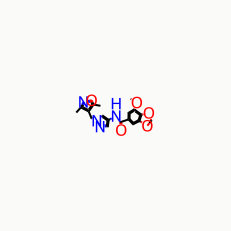 COc1cc(C(=O)Nc2cnn(Cc3c(C)noc3C)c2)cc2c1OCO2